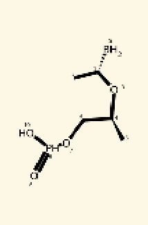 B[C@@H](C)O[C@@H](C)CO[PH](=O)O